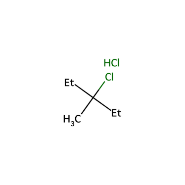 CCC(C)(Cl)CC.Cl